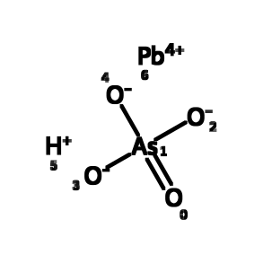 O=[As]([O-])([O-])[O-].[H+].[Pb+4]